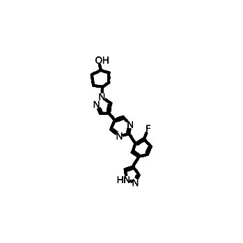 OC1CCC(n2cc(-c3cnc(-c4cc(-c5cn[nH]c5)ccc4F)nc3)cn2)CC1